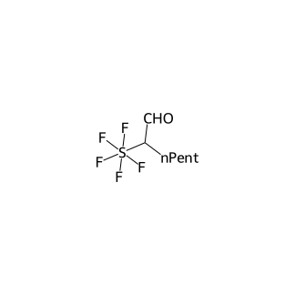 CCCCCC(C=O)S(F)(F)(F)(F)F